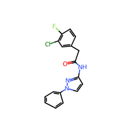 O=C(Cc1ccc(F)c(Cl)c1)Nc1ccn(-c2ccccc2)n1